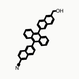 N#Cc1ccc2cc(-c3c4ccccc4c(-c4ccc5cc(CO)ccc5c4)c4ccccc34)ccc2c1